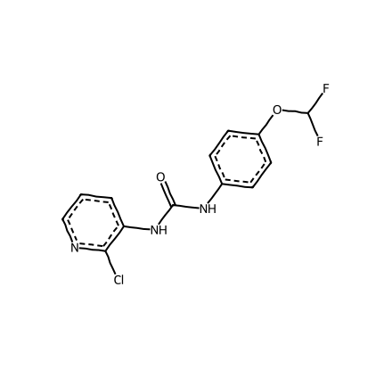 O=C(Nc1ccc(OC(F)F)cc1)Nc1cccnc1Cl